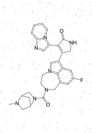 CN1CC2CC1CN2C(=O)N1CCn2cc(C3=C(c4cnc5ccccn45)C(=O)NC3)c3cc(F)cc(c32)C1